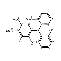 COc1ccccc1P(c1ccccc1C(C)C)c1cc(OC)c(OC)c(C)c1S(=O)(=O)O